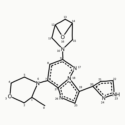 CC1COCCN1c1cc(N2CC3CC(C2)O3)nn2c(-c3cc[nH]n3)cnc12